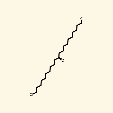 O=C(CCCCCCCCCCCl)CCCCCCCCCCCl